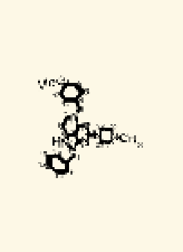 COc1ccc(CN2CCC3NN(Cc4ccccc4)c4nc(N5CCN(C)CC5)nc2c43)cc1